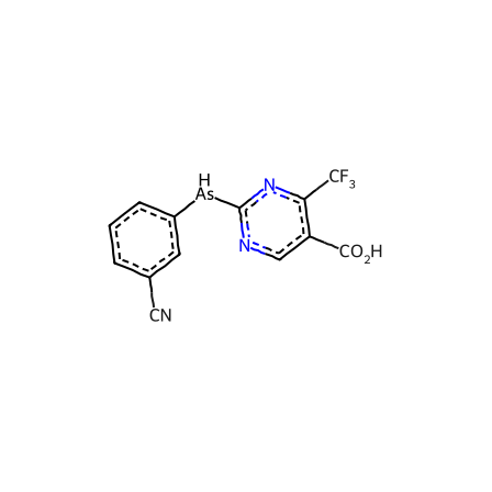 N#Cc1cccc([AsH]c2ncc(C(=O)O)c(C(F)(F)F)n2)c1